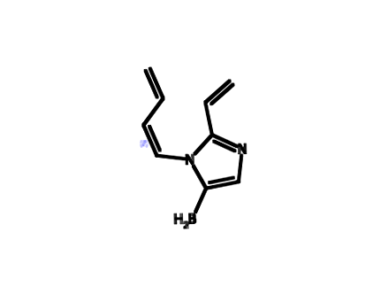 Bc1cnc(C=C)n1/C=C\C=C